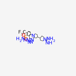 N=C(N)N1CCC(C2CCN(c3ccc(C(F)(F)F)c(S(N)(=O)=O)c3-c3nnn[nH]3)CC2)CC1